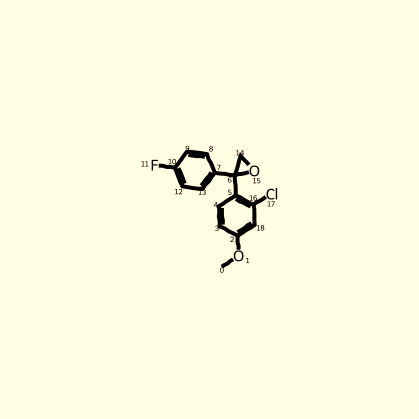 COc1ccc(C2(c3ccc(F)cc3)CO2)c(Cl)c1